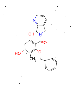 Cc1c(O)cc(O)c(C(=O)N2Cc3cccnc3C2)c1OCc1ccccc1